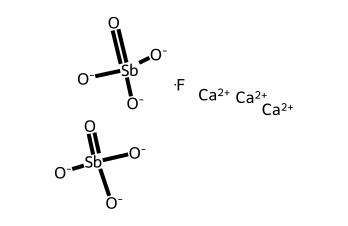 [Ca+2].[Ca+2].[Ca+2].[F].[O]=[Sb]([O-])([O-])[O-].[O]=[Sb]([O-])([O-])[O-]